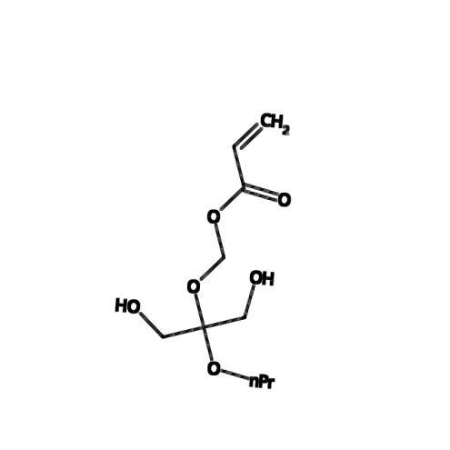 C=CC(=O)OCOC(CO)(CO)OCCC